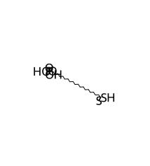 O=P(O)(O)OCCCCCCCCCCCCCCCCCCC(=S)S